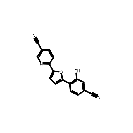 Cc1cc(C#N)ccc1-c1ccc(-c2ccc(C#N)cn2)o1